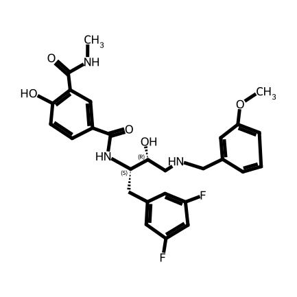 CNC(=O)c1cc(C(=O)N[C@@H](Cc2cc(F)cc(F)c2)[C@H](O)CNCc2cccc(OC)c2)ccc1O